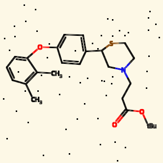 Cc1cccc(Oc2ccc(C3CN(CCC(=O)OC(C)(C)C)CCS3)cc2)c1C